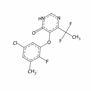 [CH2]c1cc(Cl)cc(Oc2c(C(C)(F)F)nc[nH]c2=O)c1F